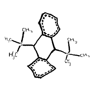 CS(C)(C)C1c2ccccc2C(S(C)(C)C)c2ccccc21